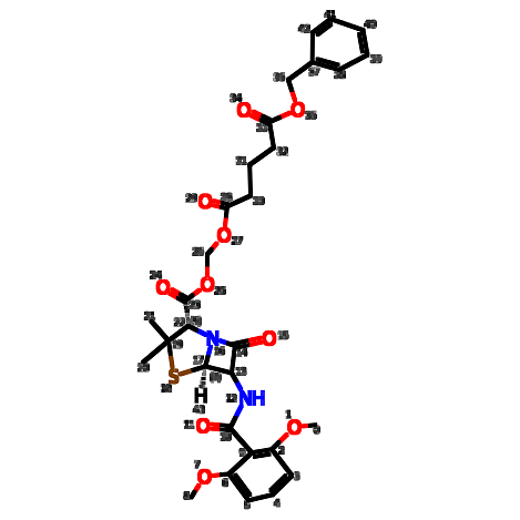 COc1cccc(OC)c1C(=O)NC1C(=O)N2[C@@H]1SC(C)(C)[C@@H]2C(=O)OCOC(=O)CCCC(=O)OCc1ccccc1